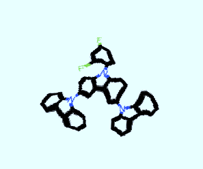 Fc1ccc(-n2c3ccc(-n4c5ccccc5c5ccccc54)cc3c3cc(-n4c5ccccc5c5ccccc54)ccc32)c(F)c1